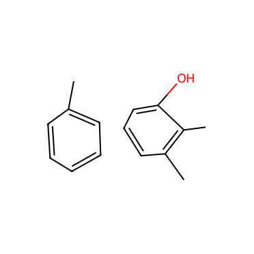 Cc1cccc(O)c1C.Cc1ccccc1